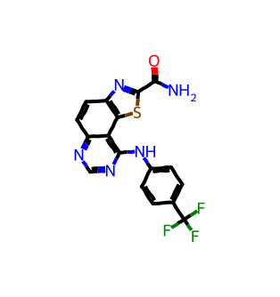 NC(=O)c1nc2ccc3ncnc(Nc4ccc(C(F)(F)F)cc4)c3c2s1